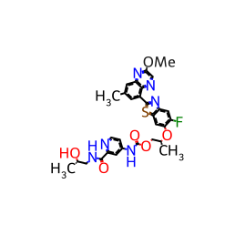 COc1cnc2c(-c3nc4cc(F)c(O[C@@H](C)COC(=O)Nc5ccnc(C(=O)NC[C@H](C)O)c5)cc4s3)cc(C)cc2n1